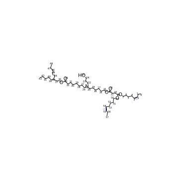 CC/C=C\CCCCOC(CCC(=O)OCCCCCCN(CCCO)CCCCCCCC(=O)OCCC(CCCCC)CCCCC)OCCCC/C=C\CC